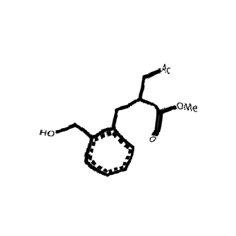 COC(=O)C(CC(C)=O)Cc1ccccc1CO